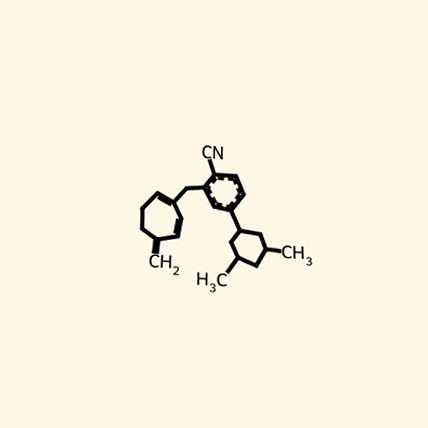 C=C1C=CC(Cc2cc(C3CC(C)CC(C)C3)ccc2C#N)=CCC1